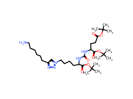 CC(C)(C)OC(=O)CCC(NC(=O)NC(CCCCn1cc(CCCCCCN)nn1)C(=O)OC(C)(C)C)C(=O)OC(C)(C)C